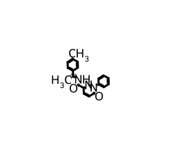 Cc1ccc([C@@H](C)NC(=O)c2ccc(=O)n(-c3ccccc3)n2)cc1